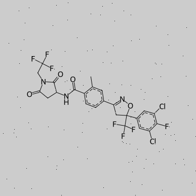 Cc1cc(C2=NOC(c3cc(Cl)c(F)c(Cl)c3)(C(F)(F)F)C2)ccc1C(=O)NC1CC(=O)N(CC(F)(F)F)C1=O